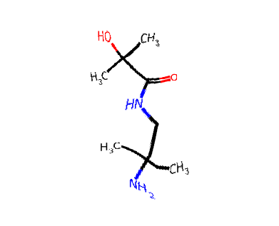 CC(C)(N)CNC(=O)C(C)(C)O